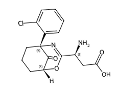 N[C@@H](CC(=O)O)C1=N[C@@]2(c3ccccc3Cl)CCC[C@@H](O1)C2=O